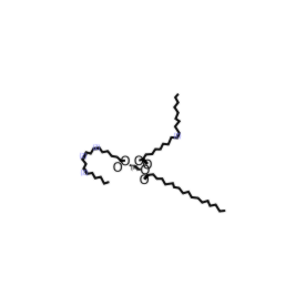 CCCCC/C=C\C/C=C\C/C=C\CCCCC(=O)OC[C@@H](COC(=O)CCCCCCCCCCCCCCCCC)OC(=O)CCCCCCC/C=C\CCCCCCCC